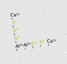 [Al+3].[Al+3].[Ca+2].[Ca+2].[S-2].[S-2].[S-2].[S-2].[S-2]